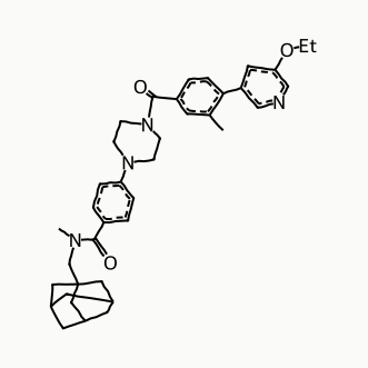 CCOc1cncc(-c2ccc(C(=O)N3CCN(c4ccc(C(=O)N(C)CC56CC7CC(CC(C7)C5)C6)cc4)CC3)cc2C)c1